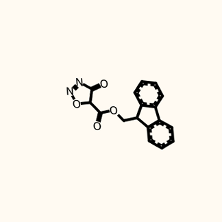 O=C1N=NOC1C(=O)OCC1c2ccccc2-c2ccccc21